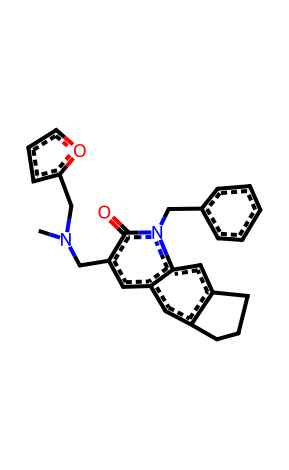 CN(Cc1ccco1)Cc1cc2cc3c(cc2n(Cc2ccccc2)c1=O)CCC3